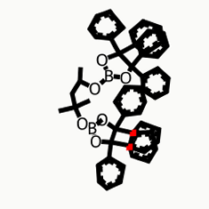 CC(CC(C)(C)OB1OC(c2ccccc2)(c2ccccc2)C(c2ccccc2)(c2ccccc2)O1)OB1OC(c2ccccc2)(c2ccccc2)C(c2ccccc2)(c2ccccc2)O1